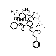 C[C@@H](C(=O)N[C@H](C(=O)N1CCC[C@H]1CN(CCc1c#cccc1)C(=O)CN)C1CCCCC1)N(C)C(=O)OC(C)(C)C